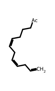 C=CC/C=C\C/C=C\CCCC(C)=O